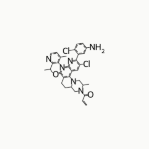 C=CC(=O)N1CC2CCc3c(c4cc(Cl)c(-c5cc(N)ccc5Cl)nc4n(-c4c(C)ccnc4C(C)C)c3=O)N2CC1C